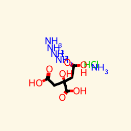 Cl.N.N.N.N.N.O=C(O)CC(O)(CC(=O)O)C(=O)O